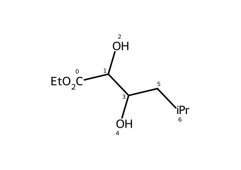 CCOC(=O)C(O)C(O)CC(C)C